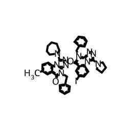 Cc1ccc2c(c1)c(=O)n(Cc1ccccc1)c1nnc(N3CCCCCC3)n21.O=c1c2cc(I)ccc2n2c(N3CCCC3)nnc2n1Cc1ccccc1